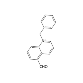 O=Cc1cccc2c1ccc[n+]2Cc1ccccc1